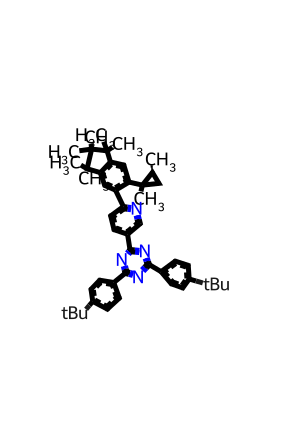 C[C@@H]1CC1(C)c1cc2c(cc1-c1ccc(-c3nc(-c4ccc(C(C)(C)C)cc4)nc(-c4ccc(C(C)(C)C)cc4)n3)cn1)C(C)(C)C(C)(C)C2(C)C